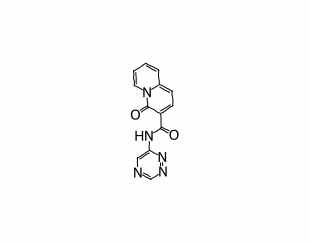 O=C(Nc1cncnn1)c1ccc2ccccn2c1=O